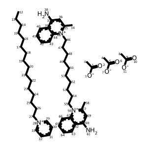 CC(=O)[O-].CC(=O)[O-].CC(=O)[O-].CCCCCCCCCCCCCCCC[n+]1ccccc1.Cc1cc(N)c2ccccc2[n+]1CCCCCCCCCC[n+]1c(C)cc(N)c2ccccc21